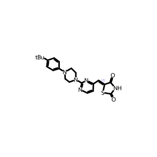 CC(C)(C)c1ccc(N2CCN(c3nccc(/C=C4\SC(=O)NC4=O)n3)CC2)cc1